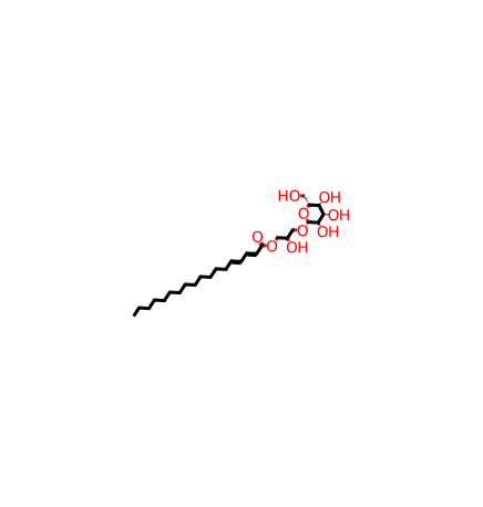 CCCCCCCCCCCCCC=CC=CC(=O)OCC(O)CO[C@@H]1O[C@H](CO)[C@H](O)[C@H](O)[C@H]1O